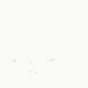 Cc1ccc2c(c1)CCc1cc(C)ccc1C2(CC(C)N)c1n[nH]c(=O)[nH]1